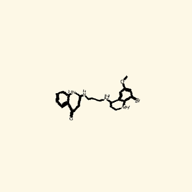 COc1cc(Br)c2c(c1)C(NCCCNc1cc(=O)c3ccccc3[nH]1)CCN2